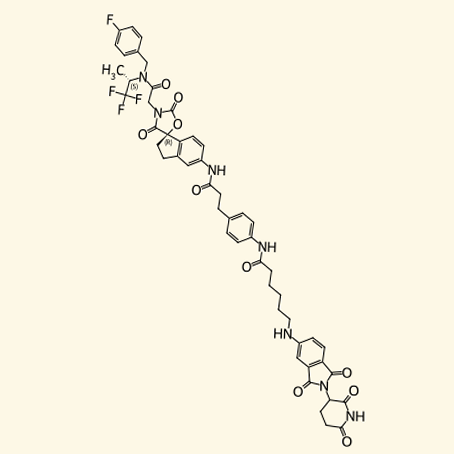 C[C@H](N(Cc1ccc(F)cc1)C(=O)CN1C(=O)O[C@@]2(CCc3cc(NC(=O)CCc4ccc(NC(=O)CCCCCNc5ccc6c(c5)C(=O)N(C5CCC(=O)NC5=O)C6=O)cc4)ccc32)C1=O)C(F)(F)F